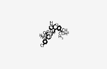 COC(=O)C1(C)CN(CC/C=C2\C3=C(COc4ccc(C(C)(C)O)cc42)NCC=C3)CCC1(O)c1ccc(Cl)cc1